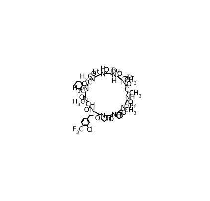 CC[C@@H]1NC(=O)C([C@@H](C)CC)NC(=O)[C@H](CC(C)C)N(C)C(=O)C[C@@H](C)NC(=O)[C@H](C(C)C)N(C)C(=O)C2(CCCC2)NC(=O)[C@@H]2CCCN2C(=O)[C@H](CCc2ccc(C(F)(F)F)c(Cl)c2)NC(=O)CN(C)C(=O)[C@H](CC2CCCCC2)N(C)C(=O)CN(C)C1=O